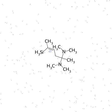 C/C([SiH3])=C/CC(C)(N(C)C)N(C)C